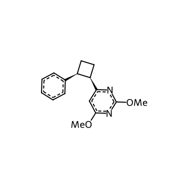 COc1cc([C@@H]2CC[C@@H]2c2ccccc2)nc(OC)n1